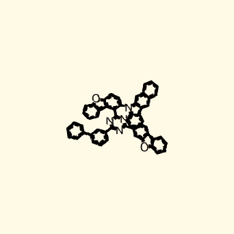 c1ccc(-c2cccc(-c3nc(-c4ccc5c(c4)oc4ccccc45)nc(-c4c(-n5c6ccccc6c6cc7ccccc7cc65)ccc5oc6ccccc6c45)n3)c2)cc1